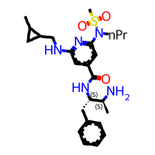 CCCN(c1cc(C(=O)N[C@@H](Cc2ccccc2)[C@H](C)N)cc(NCC2CC2C)n1)S(C)(=O)=O